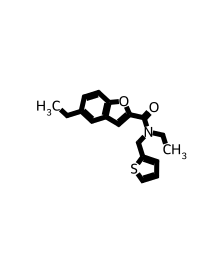 CCc1ccc2oc(C(=O)N(CC)Cc3cccs3)cc2c1